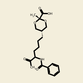 CC(=O)C(CCCC[C@H]1CO[C@@](C)(C(=O)O)OC1)NC(=O)c1ccccc1